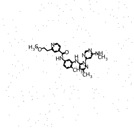 CNc1cc(-n2nc(C)cc2Nc2cc(NC(=O)c3ccnc(CCOC)c3)ccc2C)ncn1